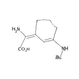 CCC(C)NC1=C/C(=C(/N)C(=O)O)CCC1